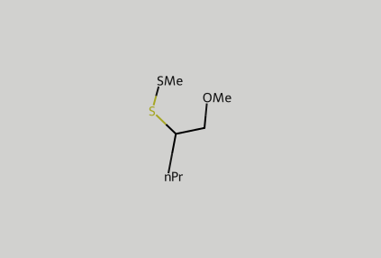 CCCC(COC)SSC